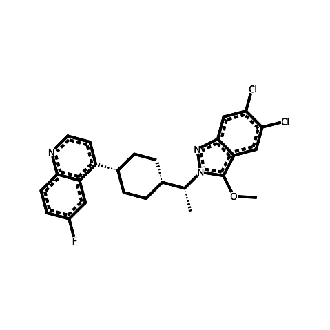 COc1c2cc(Cl)c(Cl)cc2nn1[C@H](C)[C@H]1CC[C@@H](c2ccnc3ccc(F)cc32)CC1